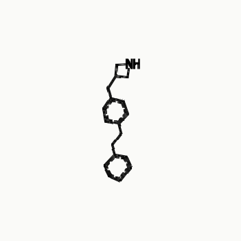 c1ccc(CCc2ccc(CC3CNC3)cc2)cc1